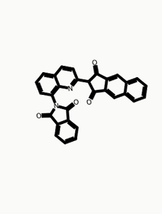 O=C1c2cc3ccccc3cc2C(=O)C1c1ccc2cccc(N3C(=O)c4ccccc4C3=O)c2n1